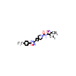 Cc1noc(NC(=O)N2CCC3(CC2)CC(c2noc(-c4ccc(C(F)(F)F)cc4)n2)C3)c1C